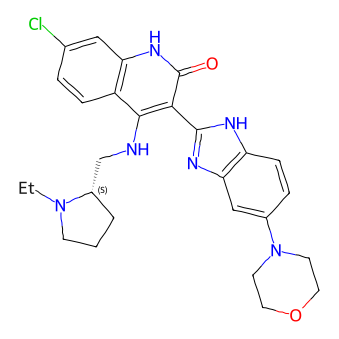 CCN1CCC[C@H]1CNc1c(-c2nc3cc(N4CCOCC4)ccc3[nH]2)c(=O)[nH]c2cc(Cl)ccc12